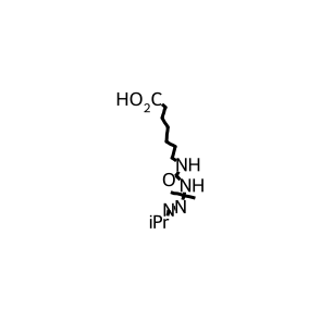 CC(C)N=NC(C)(C)NC(=O)NCCCCCCC(=O)O